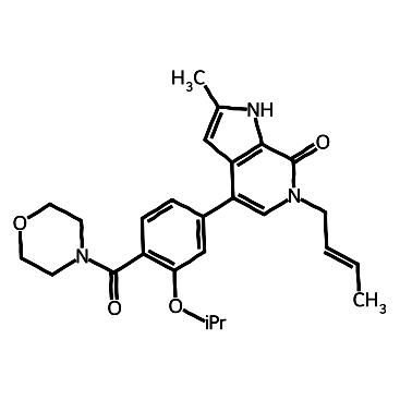 CC=CCn1cc(-c2ccc(C(=O)N3CCOCC3)c(OC(C)C)c2)c2cc(C)[nH]c2c1=O